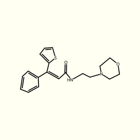 O=C(/C=C(/c1ccccc1)c1cccs1)NCCN1CCOCC1